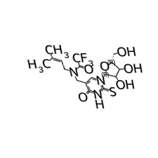 CC(C)=CCN(Cc1cn([C@@H]2O[C@H](CO)C(O)C2O)c(=S)[nH]c1=O)C(=O)C(F)(F)F